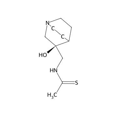 CC(=S)NC[C@]1(O)CN2CCC1CC2